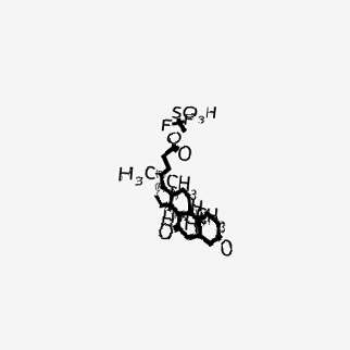 C[C@H](CCC(=O)OCC(F)(F)S(=O)(=O)O)[C@H]1CC[C@H]2[C@@H]3C(=O)CC4CC(=O)CC[C@]4(C)[C@H]3CC[C@]12C